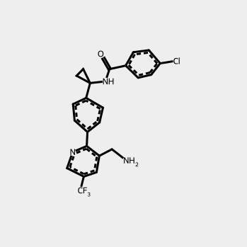 NCc1cc(C(F)(F)F)cnc1-c1ccc(C2(NC(=O)c3ccc(Cl)cc3)CC2)cc1